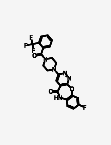 O=C1Nc2ccc(F)cc2Oc2nnc(N3CCN(C(=O)c4ccccc4C(F)(F)F)CC3)cc21